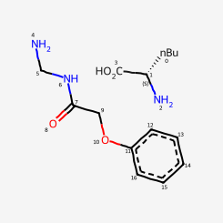 CCCC[C@H](N)C(=O)O.NCNC(=O)COc1ccccc1